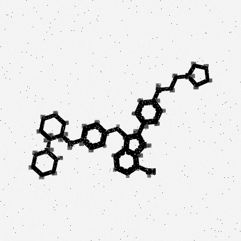 Oc1cccc2c(Cc3ccc(O[C@@H]4CCCC[C@H]4N4CCCCC4)cc3)c(-c3ccc(OCCN4CCCC4)cc3)sc12